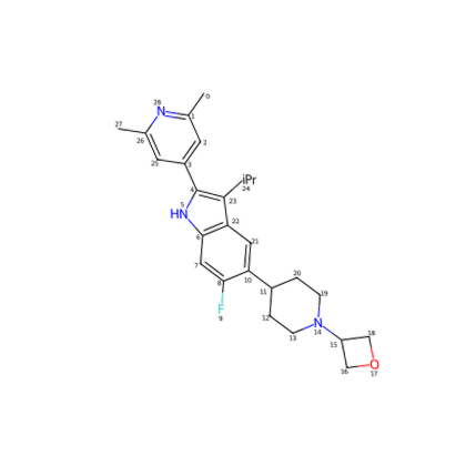 Cc1cc(-c2[nH]c3cc(F)c(C4CCN(C5COC5)CC4)cc3c2C(C)C)cc(C)n1